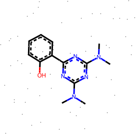 CN(C)c1nc(-c2ccccc2O)nc(N(C)C)n1